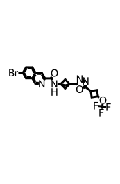 O=C(NC12CC(c3nnc(C4CC(OC(F)(F)F)C4)o3)(C1)C2)c1cc2ccc(Br)cc2cn1